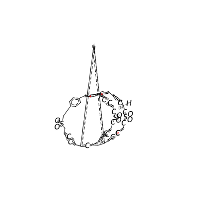 O=S1(=O)Cc2ccc(cc2)-c2cc3cc(c2)-c2ccc(cc2)CS(=O)(=O)Cc2ccc(cc2)-c2cc(cc(c2)-c2ccc(cc2)CS(=O)(=O)C[C@@H]2C=CC3=CC2)-c2ccc(cc2)C1